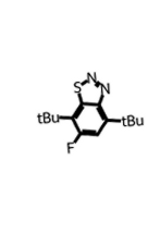 CC(C)(C)c1cc(F)c(C(C)(C)C)c2snnc12